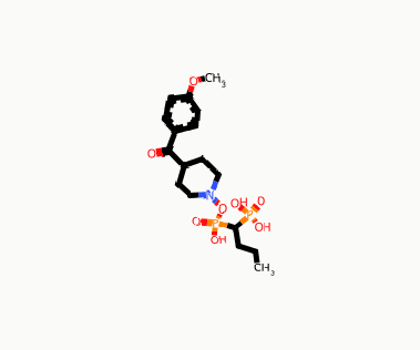 CCCC(P(=O)(O)O)P(=O)(O)ON1CCC(C(=O)c2ccc(OC)cc2)CC1